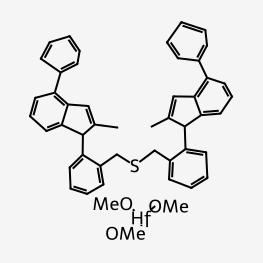 CC1=Cc2c(-c3ccccc3)cccc2C1c1ccccc1CSCc1ccccc1C1C(C)=Cc2c(-c3ccccc3)cccc21.C[O][Hf]([O]C)[O]C